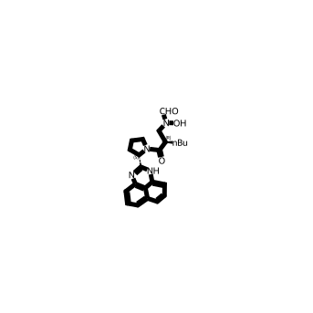 CCCC[C@H](CN(O)C=O)C(=O)N1CCC[C@H]1C1=Nc2cccc3cccc(c23)N1